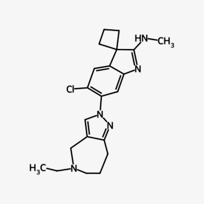 CCN1CCCc2nn(-c3cc4c(cc3Cl)C3(CCC3)C(NC)=N4)cc2C1